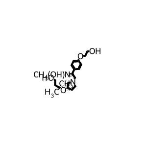 CN(O)[C@H](CN1CC[C@H](OC(C)(C)CCO)C1)c1ccc(OCCO)cc1